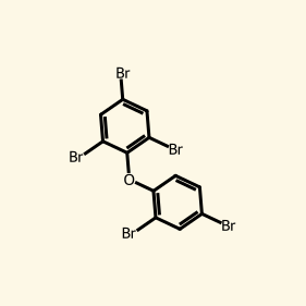 Brc1ccc(Oc2c(Br)cc(Br)cc2Br)c(Br)c1